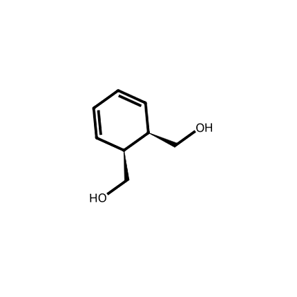 OC[C@H]1C=CC=C[C@H]1CO